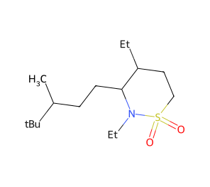 CCC1CCS(=O)(=O)N(CC)C1CCC(C)C(C)(C)C